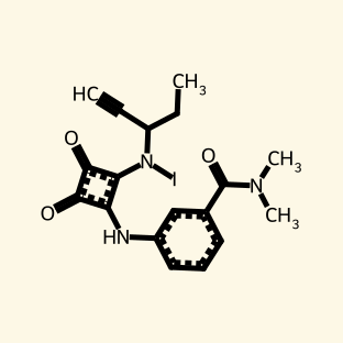 C#CC(CC)N(I)c1c(Nc2cccc(C(=O)N(C)C)c2)c(=O)c1=O